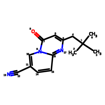 CC(C)(C)Cc1cc(=O)n2cc(C#N)ccc2n1